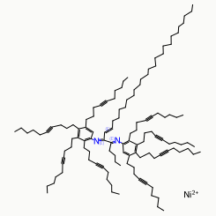 CCCCCC#CCCCc1cc(/N=C(\C=C\CCCCCCCCCCCCCCCCCCCCCCC)C(/CCCC)=N/c2cc(CCCC#CCCCCC)c(CCCC#CCCCCC)c(CCCC#CCCCCC)c2CCCC#CCCCCC)c(CCCC#CCCCCC)c(CCCC#CCCCCC)c1CCCC#CCCCCC.[Ni+2]